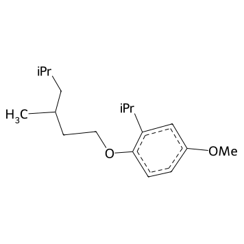 COc1ccc(OCCC(C)CC(C)C)c(C(C)C)c1